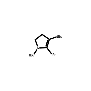 CC(C)C1=C(C(C)(C)C)CCN1C(C)(C)C